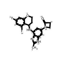 Cc1nc2c(NC3CCOc4cc(F)cc(F)c43)cc(N3CCC3=O)cc2[nH]1